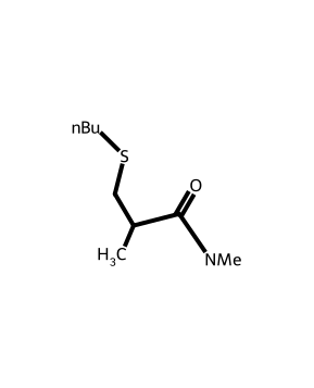 CCCCSCC(C)C(=O)NC